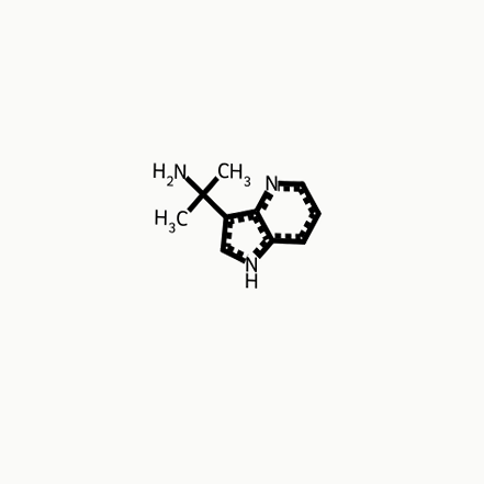 CC(C)(N)c1c[nH]c2cccnc12